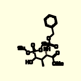 COC(=O)[C@@H](NC(=O)OCc1ccccc1)[C@@H](C)C(O)P(=O)(OC(C)(C)C)OC(C)(C)C